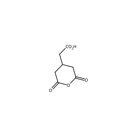 O=C(O)CC1CC(=O)OC(=O)C1